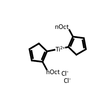 CCCCCCCCC1=[C]([Ti+2][C]2=C(CCCCCCCC)C=CC2)CC=C1.[Cl-].[Cl-]